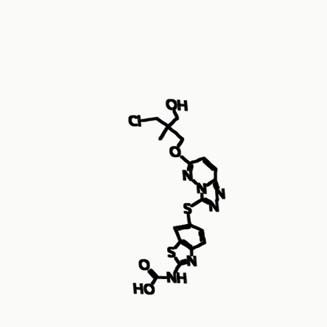 CC(CO)(CCl)COc1ccc2nnc(Sc3ccc4nc(NC(=O)O)sc4c3)n2n1